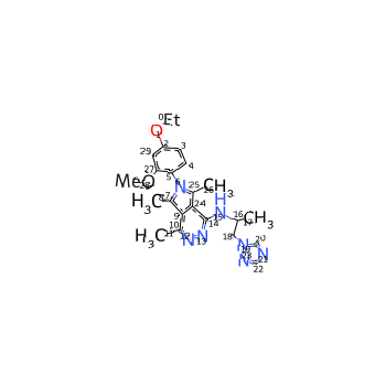 CCOc1ccc(-n2c(C)c3c(C)nnc(NC(C)Cn4cncn4)c3c2C)c(OC)c1